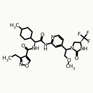 CCc1nocc1C(=O)N[C@H](C(=O)Nc1cc(C(COC)N2C[C@@H](C(F)(F)F)NC2=O)ccn1)C1CCC(C)CC1